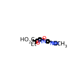 CCC1Oc2cc(C(=O)Nc3ccc(C=NN4CCN(C)CC4)cc3)ccc2CC1CC(=O)O